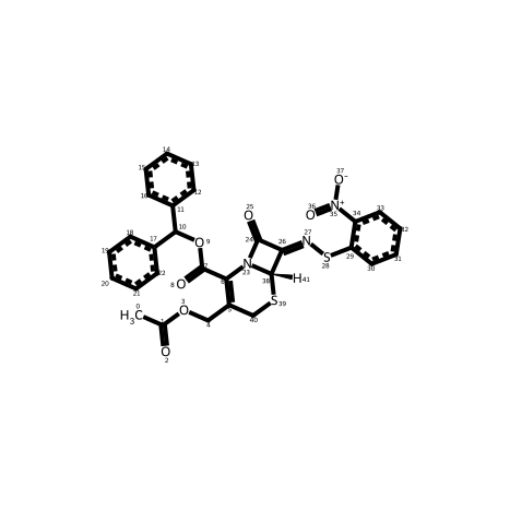 CC(=O)OCC1=C(C(=O)OC(c2ccccc2)c2ccccc2)N2C(=O)C(=NSc3ccccc3[N+](=O)[O-])[C@@H]2SC1